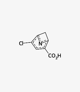 O=C(O)c1cc(Cl)c2nc1C2